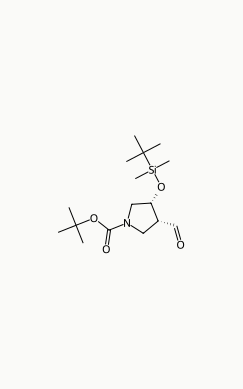 CC(C)(C)OC(=O)N1C[C@@H](C=O)[C@@H](O[Si](C)(C)C(C)(C)C)C1